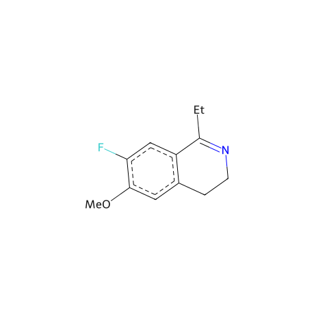 CCC1=NCCc2cc(OC)c(F)cc21